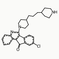 O=C1c2cc(Cl)ccc2-c2c(N3CCC(CCCC4CCNCC4)CC3)nc3ccccc3c21